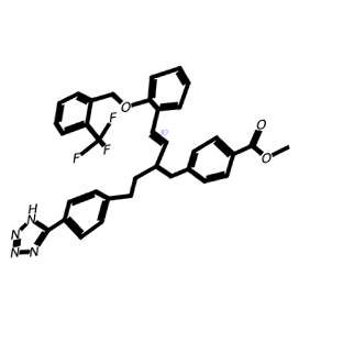 COC(=O)c1ccc(CC(/C=C/c2ccccc2OCc2ccccc2C(F)(F)F)CCc2ccc(-c3nnn[nH]3)cc2)cc1